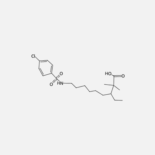 CCC(CCCCCCNS(=O)(=O)c1ccc(Cl)cc1)C(C)(C)C(=O)O